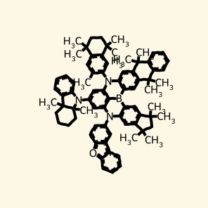 Cc1cc2c(cc1N1c3cc4c(cc3B3c5cc6c(cc5N(c5ccc7oc8ccccc8c7c5)c5cc(N7c8ccccc8C8(C)CCCCC78C)cc1c53)C(C)(C)CC6(C)C)C(C)(C)c1ccccc1C4(C)C)C(C)(C)CCC2(C)C